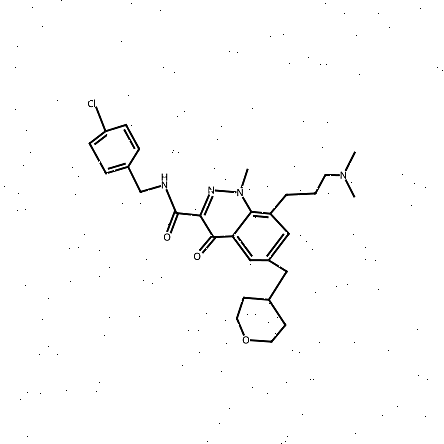 CN(C)CCCc1cc(CC2CCOCC2)cc2c(=O)c(C(=O)NCc3ccc(Cl)cc3)nn(C)c12